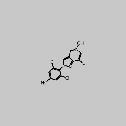 N#Cc1cc(Cl)c(-n2cc3c(n2)C(F)=CN(O)C3)c(Cl)c1